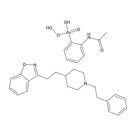 CC(=O)Nc1ccccc1[As](=O)(O)OO.c1ccc(CCN2CCC(CCc3noc4ccccc34)CC2)cc1